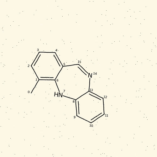 Cc1cccc2c1Nc1ccccc1N=C2